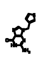 Nc1nc2c(ncn2Cc2ccsc2)c(=O)[nH]1